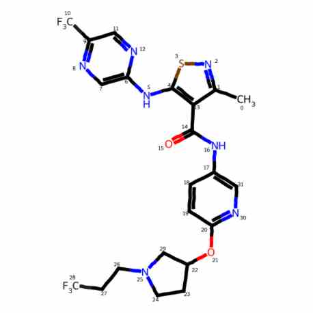 Cc1nsc(Nc2cnc(C(F)(F)F)cn2)c1C(=O)Nc1ccc(OC2CCN(CCC(F)(F)F)C2)nc1